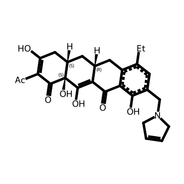 CCc1cc(CN2CC=CC2)c(O)c2c1C[C@H]1C[C@H]3CC(O)=C(C(C)=O)C(=O)[C@@]3(O)C(O)=C1C2=O